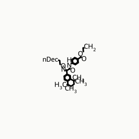 C=CCOC(=O)c1ccc(NC(=O)C(=NOCCCCCCCCCCCC)c2ccc3c(c2)C(C)(C)CCC3(C)C)cc1